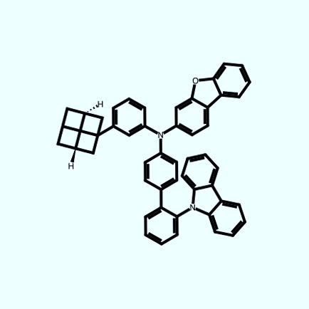 c1cc(N(c2ccc(-c3ccccc3-n3c4ccccc4c4ccccc43)cc2)c2ccc3c(c2)oc2ccccc23)cc(C23C[C@@H]4CC5C[C@@H](C2)C543)c1